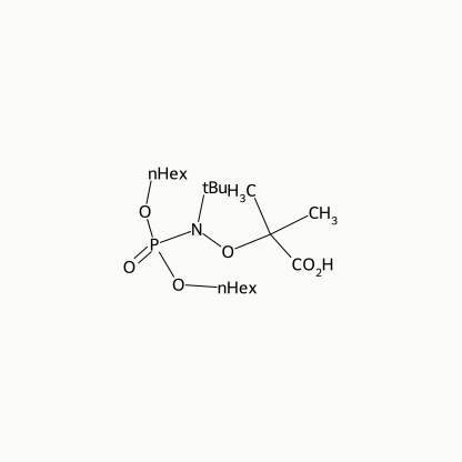 CCCCCCOP(=O)(OCCCCCC)N(OC(C)(C)C(=O)O)C(C)(C)C